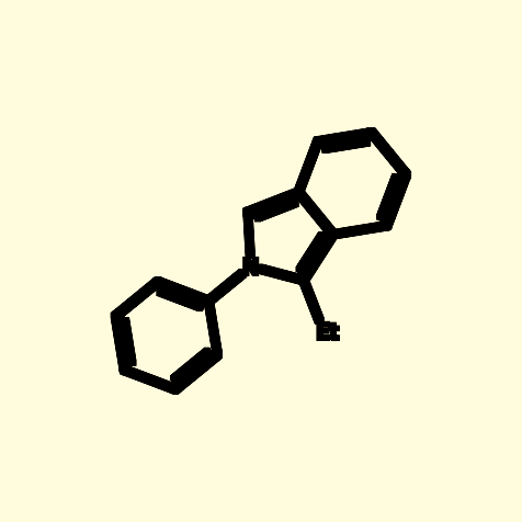 CCc1c2ccccc2cn1-c1ccccc1